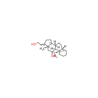 C[C@]12CCCC[C@H]1CC[C@@H]1[C@@H]2[C@@H](O)C[C@]2(C)[C@@H](CCO)CC[C@@H]12